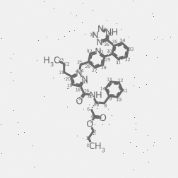 CCCOC(=O)C[C@@H](Cc1ccccc1)NC(=O)c1cc(CCC)n(Cc2ccc(-c3ccccc3-c3nnn[nH]3)nc2)n1